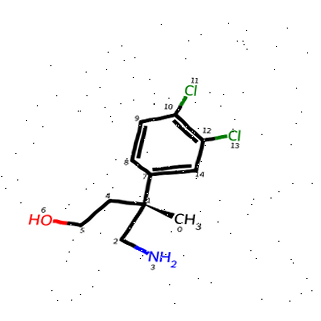 C[C@@](CN)(CCO)c1ccc(Cl)c(Cl)c1